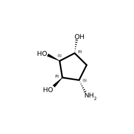 N[C@H]1C[C@@H](O)[C@H](O)[C@@H]1O